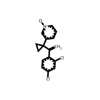 C=C(c1ccc(Cl)cc1Cl)C1(c2ccc[n+]([O-])c2)CC1